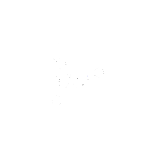 COc1ccccc1Oc1c(NS(=O)(=O)/C=C/c2ccccc2)nc(-c2ccc(C(F)(F)F)nc2)nc1OC